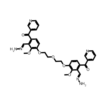 COc1c(OCCOCCOc2ccc(C(=O)c3cccnc3)c(C=NN)c2OC)ccc(C(=O)c2cccnc2)c1C=NN